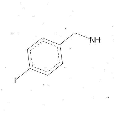 [NH]Cc1ccc(I)cc1